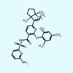 C/C=C(/c1ccc(C(=O)NS(=O)(=O)c2cccc(N)n2)c(Oc2c(C)cc(C)cc2C)n1)C1(C)CCCC1(C)C